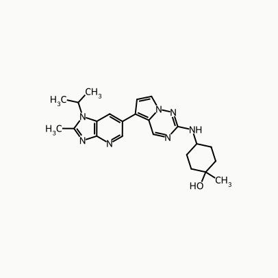 Cc1nc2ncc(-c3ccn4nc(NC5CCC(C)(O)CC5)ncc34)cc2n1C(C)C